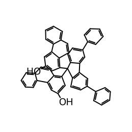 Oc1cc(C2(c3cc(O)cc4c3ccc3ccccc34)c3ccc(-c4ccccc4)cc3-c3cc(-c4ccccc4)ccc32)c2ccc3ccccc3c2c1